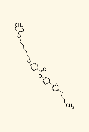 C=CC(=O)OCCCCCCCOc1ccc(C(=O)Oc2ccc(-c3ccc(CCCCC)cn3)cc2)cc1